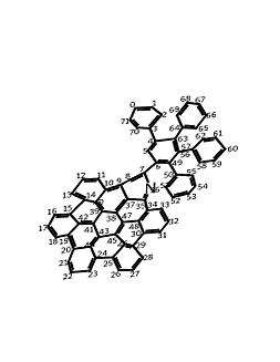 c1ccc(-c2cc(-c3cc4c5cccc6c7cccc8c9cccc%10c%11cccc%12c%13cccc%14c(n3)c4c3c(c65)c(c87)c(c9%10)c(c%11%12)c3c%13%14)c(-c3ccccc3)c(-c3ccccc3)c2-c2ccccc2)cc1